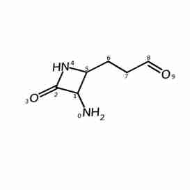 NC1C(=O)NC1CCC=O